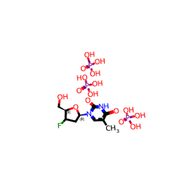 Cc1cn([C@H]2CC(F)[C@@H](CO)O2)c(=O)[nH]c1=O.O=P(O)(O)O.O=P(O)(O)O.O=P(O)(O)O